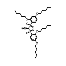 CCCCCOc1ccc(S(=O)(=O)C(=[N+]=[N-])S(=O)(=O)c2ccc(OCCCCC)cc2OCCCCC)c(OCCCCC)c1